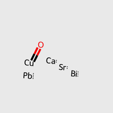 [Bi].[Ca].[O]=[Cu].[Pb].[Sr]